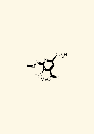 C=N/N=c1/nc(C(=O)O)cc(C(=O)OC)n1N